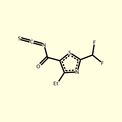 CCc1nc(C(F)F)sc1C(=O)N=C=S